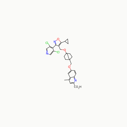 Cc1cc(C(=O)O)nc2ccc(OCC34CCC(OCc5c(-c6c(Cl)cncc6Cl)noc5C5CC5)(CC3)CC4)cc12